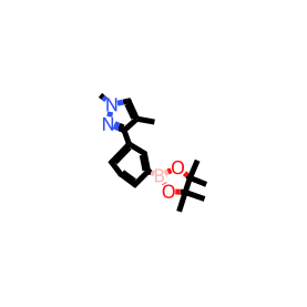 Cc1cn(C)nc1-c1cccc(B2OC(C)(C)C(C)(C)O2)c1